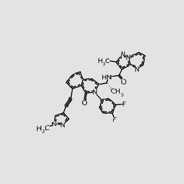 Cc1nn2cccnc2c1C(=O)N[C@H](C)c1cc2cccc(C#Cc3cnn(C)c3)c2c(=O)n1-c1ccc(F)c(F)c1